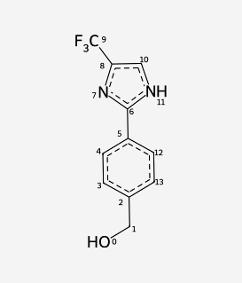 OCc1ccc(-c2nc(C(F)(F)F)c[nH]2)cc1